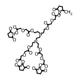 C=C1CCC(=O)N1OC(=O)COCC(=O)OCCN(CCOC(=O)COCC(=O)ON1C(=O)CCC1=O)CCN(CCOC(=O)COCC(=O)ON1C(=O)CCC1=O)CCOC(=O)COCC(=O)ON1C(=O)CCC1=O